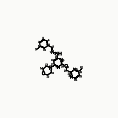 Cc1cccc(C=NNc2cc(N3CCOCC3)nc(OCc3nccc(C)n3)n2)c1